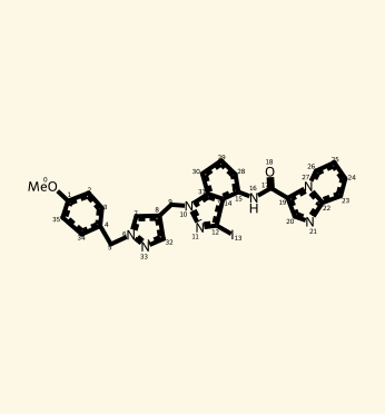 COc1ccc(Cn2cc(Cn3nc(I)c4c(NC(=O)c5cnc6ccccn56)cccc43)cn2)cc1